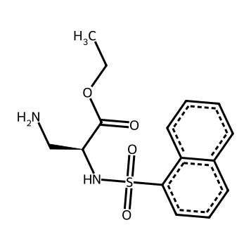 CCOC(=O)[C@H](CN)NS(=O)(=O)c1cccc2ccccc12